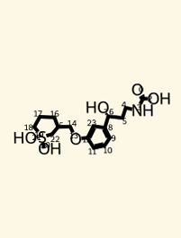 O=C(O)NCC[C@@H](O)c1cccc(OCC2CCCS(O)(O)C2)c1